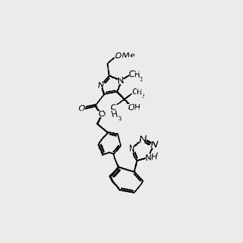 COCc1nc(C(=O)OCc2ccc(-c3ccccc3-c3nnn[nH]3)cc2)c(C(C)(C)O)n1C